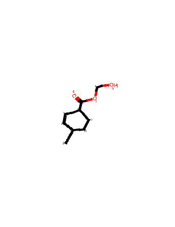 CC1CCC(C(=O)OCO)CC1